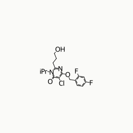 CC(C)n1c(CCCO)nc(OCc2ccc(F)cc2F)c(Cl)c1=O